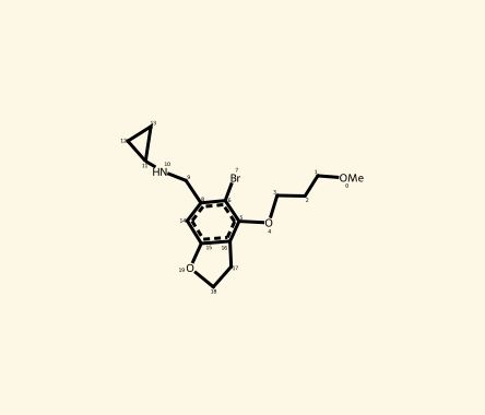 COCCCOc1c(Br)c(CNC2CC2)cc2c1CCO2